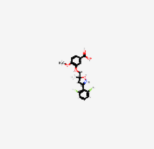 COc1ccc(C(=O)O)cc1OCC1(C)CC(c2c(F)cccc2F)=NO1